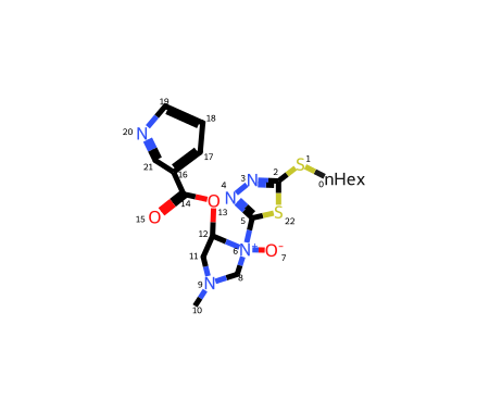 CCCCCCSc1nnc([N+]2([O-])CN(C)CC2OC(=O)c2cccnc2)s1